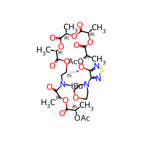 CC(=O)O[C@H](C)C(=O)O[C@H](C)C(=O)O[C@H](C)C(=O)O[C@H](C)C(=O)O[C@H](COc1nsnc1N1CCOCC1)CN(C(=O)[C@@H](C)OC(=O)[C@@H](C)OC(C)=O)C(C)(C)C